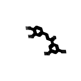 O=C(/C=C/c1ccc(O)c(O)c1)c1cc(O)cc(O)c1